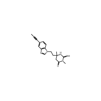 CC#Cc1ccc2c(c1)ncn2CCC1(C)CC(=O)N(C)C(=N)N1